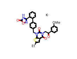 CCc1cc2c(=O)n(CC(=O)c3cccc(OC)c3)c(=O)n(Cc3ccc(-c4ccccc4-c4noc(=O)[nH]4)cc3)c2s1.[K]